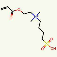 C=CC(=O)OCC[N+](C)(C)CCCCS(=O)(=O)O